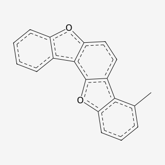 Cc1cccc2oc3c(ccc4oc5ccccc5c43)c12